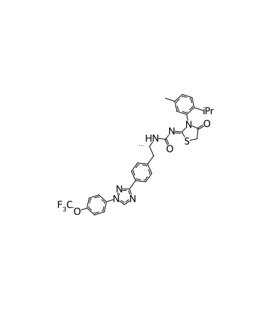 Cc1ccc(C(C)C)c(N2C(=O)CS/C2=N\C(=O)N[C@@H](C)Cc2ccc(-c3ncn(-c4ccc(OC(F)(F)F)cc4)n3)cc2)c1